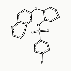 O=S(=O)(Nc1ccccc1Oc1ccc2ncccc2c1)c1ccc(F)cc1